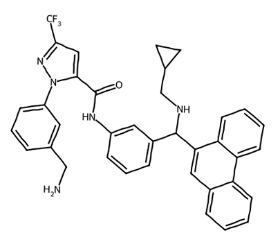 NCc1cccc(-n2nc(C(F)(F)F)cc2C(=O)Nc2cccc(C(NCC3CC3)c3cc4ccccc4c4ccccc34)c2)c1